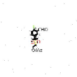 COCCS(=O)(=O)C(C)(C)c1ccc(F)c(C=O)c1